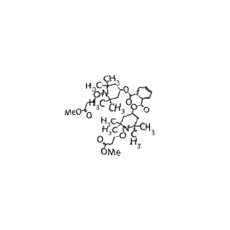 COC(=O)CCON1C(C)(C)CC(OC(=O)c2ccccc2C(=O)OC2CC(C)(C)N(OCCC(=O)OC)C(C)(C)C2)CC1(C)C